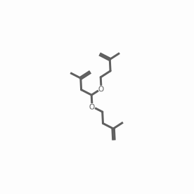 C=C(C)CCOC(CC(=C)C)OCCC(=C)C